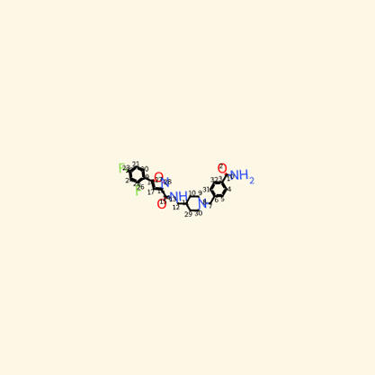 NC(=O)c1ccc(CN2CCC(CNC(=O)c3cc(-c4ccc(F)cc4F)on3)CC2)cc1